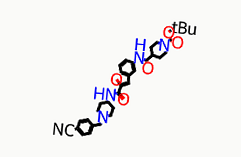 CC(C)(C)OC(=O)N1CCC(C(=O)Nc2ccc3oc(C(=O)NC4CCN(Cc5ccc(C#N)cc5)CC4)cc3c2)CC1